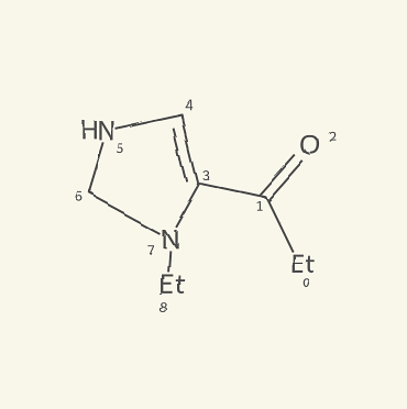 CCC(=O)C1=CNCN1CC